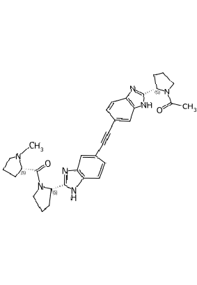 CC(=O)N1CCC[C@H]1c1nc2ccc(C#Cc3ccc4[nH]c([C@@H]5CCCN5C(=O)[C@@H]5CCCN5C)nc4c3)cc2[nH]1